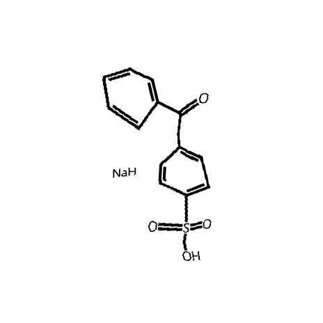 O=C(c1ccccc1)c1ccc(S(=O)(=O)O)cc1.[NaH]